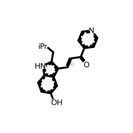 CC(C)Cc1[nH]c2ccc(O)cc2c1/C=C/C(=O)c1ccncc1